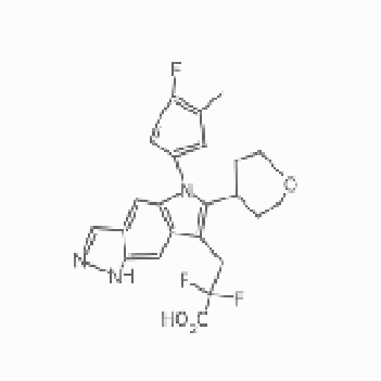 Cc1cc(-n2c(C3CCOCC3)c(CC(F)(F)C(=O)O)c3cc4[nH]ncc4cc32)ccc1F